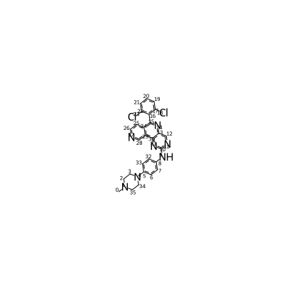 CN1CCN(c2ccc(Nc3ncc4nc(-c5c(Cl)cccc5Cl)c5ccncc5c4n3)cc2)CC1